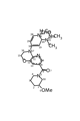 COC1CCCN(C(=O)c2cnc3c(c2)OCCN3C2=CC(N(C)N(C)C)N(C=O)C=C2)C1